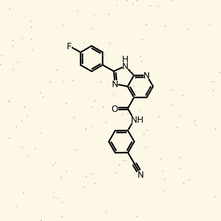 N#Cc1cccc(NC(=O)c2ccnc3[nH]c(-c4ccc(F)cc4)nc23)c1